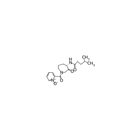 CC(C)C[CH]C(=O)N[C@H]1CCCN(C(=O)c2cccc[n+]2[O-])CC1=O